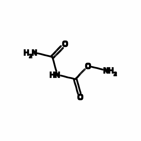 NOC(=O)NC(N)=O